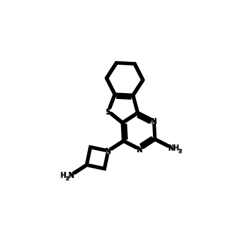 Nc1nc(N2CC(N)C2)c2sc3c(c2n1)CCCC3